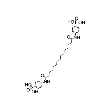 O=C(CCCCCCCCCCCCCC(=O)Nc1ccc(P(=O)(O)O)cc1)Nc1ccc(P(=O)(O)O)cc1